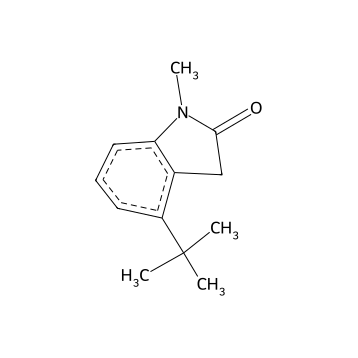 CN1C(=O)Cc2c1cccc2C(C)(C)C